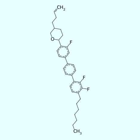 C=CCCC1CCC(c2ccc(-c3ccc(-c4ccc(CCCCCCC)c(F)c4F)cc3)cc2F)OC1